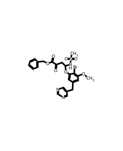 COc1cc(Cc2cncnc2)cc(OC(CC(=O)C(=O)OCc2ccccc2)NS(C)(=O)=O)c1Br